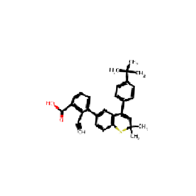 C#Cc1c(C(=O)O)cccc1-c1ccc2c(c1)C(c1ccc(C(C)(C)C)cc1)=CC(C)(C)S2